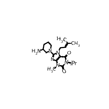 CC(C)=CCn1c(N2CCCC(N)C2)nc2c1c(=O)n(C(C)C)c(=O)n2C